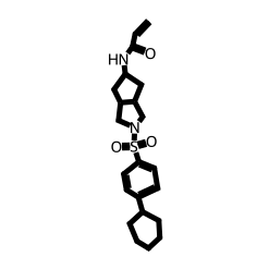 C=CC(=O)NC1CC2CN(S(=O)(=O)c3ccc(C4CCCCC4)cc3)CC2C1